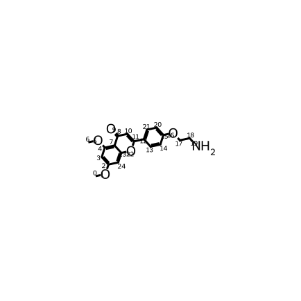 COc1cc(OC)c2c(=O)cc(-c3ccc(OCCN)cc3)oc2c1